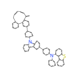 C=C1/C=C\C=C/Cc2ccccc2-c2cc(-c3ccc(-n4c5ccccc5c5cc(-c6ccc(N(c7ccccc7)c7cccc8sc9ccccc9c78)cc6)ccc54)cc3)ccc21